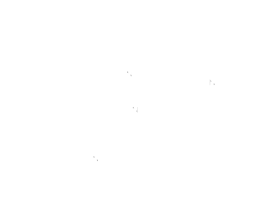 N#Cc1nc(-c2ccncc2)nc2ccccc12